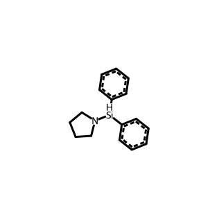 c1ccc([SiH](c2ccccc2)N2CCCC2)cc1